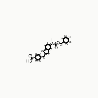 O=C(Nc1ccc2c(c1)CC(Cc1ccc(C(=O)S)cc1)C2)OCc1ccccc1